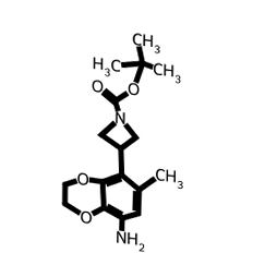 Cc1cc(N)c2c(c1C1CN(C(=O)OC(C)(C)C)C1)OCCO2